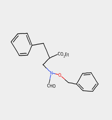 CCOC(=O)C(Cc1ccccc1)CN(C=O)OCc1ccccc1